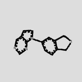 c1ncc2ccn(-c3ccc4c(c3)CSC4)c2n1